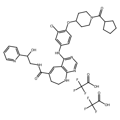 O=C(NCC(O)c1ccccn1)C1=Cc2c(ncnc2Nc2ccc(OC3CCN(C(=O)C4CCCC4)CC3)c(Cl)c2)NCC1.O=C(O)C(F)(F)F.O=C(O)C(F)(F)F